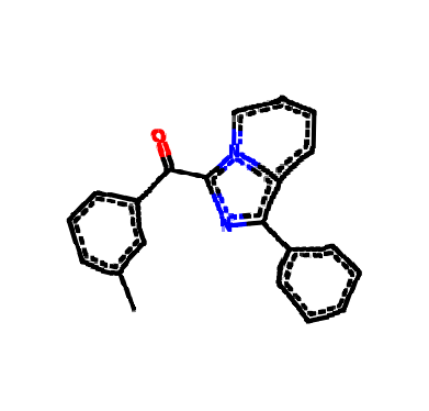 Cc1cccc(C(=O)c2nc(-c3ccccc3)c3ccccn23)c1